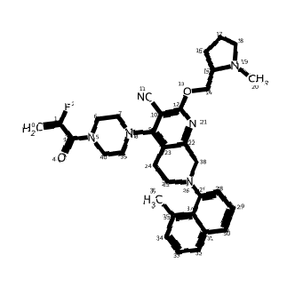 C=C(F)C(=O)N1CCN(c2c(C#N)c(OCC3CCCN3C)nc3c2CCN(c2cccc4cccc(C)c24)C3)CC1